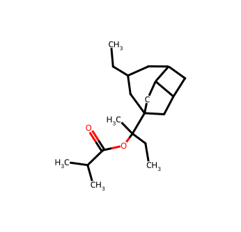 CCC1CC2CC3CC(C(C)(CC)OC(=O)C(C)C)(C1)CC23